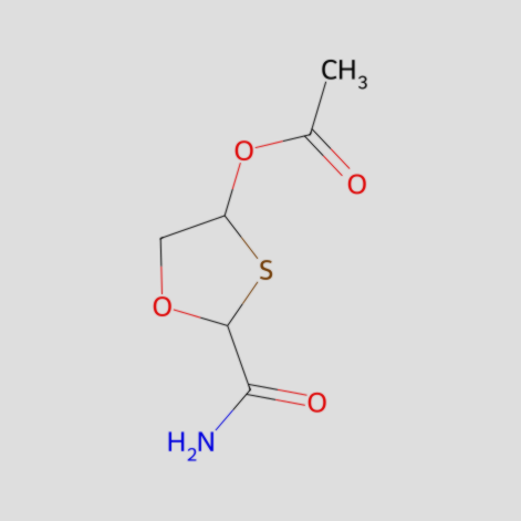 CC(=O)OC1COC(C(N)=O)S1